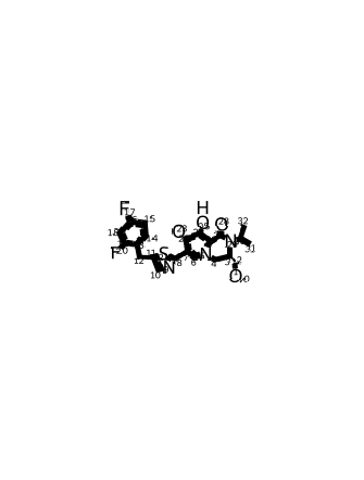 COC[C@@H]1Cn2cc(-c3ncc(Cc4ccc(F)cc4F)s3)c(=O)c(O)c2C(=O)N1C(C)C